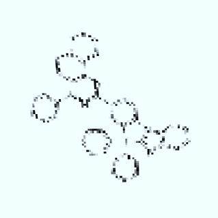 c1ccc(-c2nc(-c3ccc4c(c3)C(c3ccccc3)(c3ccccc3)c3nc5ccccc5n3-4)nc3c2ccc2ccccc23)cc1